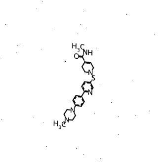 CNC(=O)C1=CCN(Sc2ccc(-c3ccc(N4CCN(C)CC4)cc3)nc2)CC1